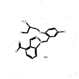 CC(CF)COc1ccc(Cl)cc1Cn1ncc2c(C(=O)[O-])cccc21.[Na+]